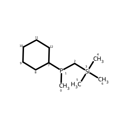 CP(C[Si](C)(C)C)C1CCCCC1